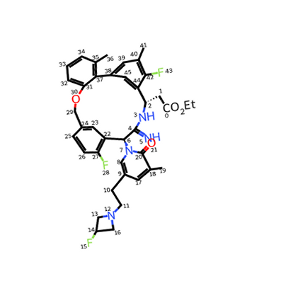 CCOC(=O)C[C@@H]1NC(=N)[C@@H](n2cc(CCN3CC(F)C3)cc(C)c2=O)c2cc(ccc2F)COc2cccc(C)c2-c2cc(C)c(F)c1c2